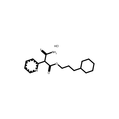 Cl.NC(=S)C(C(=O)OCCCC1CCCCC1)c1ccccn1